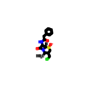 O=C(Cc1ccccc1)NC1C(=O)N2C(C(=O)O)=C(CCl)C[S+]([O-])[C@@H]12